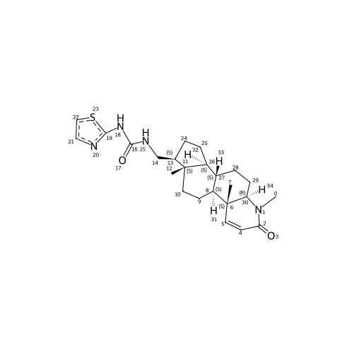 CN1C(=O)C=C[C@]2(C)[C@H]3CC[C@]4(C)[C@@H](CNC(=O)Nc5nccs5)CC[C@H]4[C@@H]3CC[C@@H]12